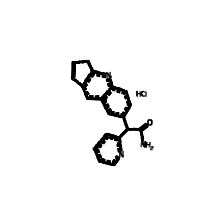 Cl.NC(=O)C(c1ccc2nc3c(cc2c1)C=CC3)c1ccccn1